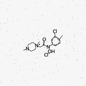 Cc1ccc(N(O)C(=O)C[N+]2(C)CCN(C)CC2)cc1Cl.[Cl-]